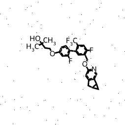 CC(C)(O)CCOc1ccc(-c2cc(COc3cc4c(cn3)C3CC3C4)c(F)cc2C(F)(F)F)c(F)c1